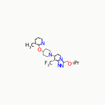 Cc1cccnc1OC1CCN(c2ccn3c(COC(C)C)nnc3c2C(F)(F)F)CC1